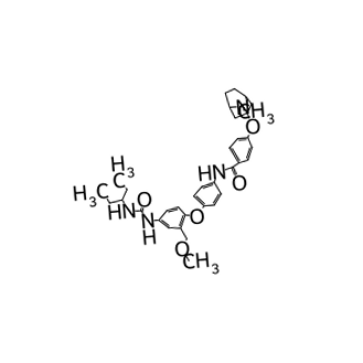 CCC(CC)NC(=O)Nc1ccc(Oc2ccc(NC(=O)c3ccc(OC4CC5CCC(C4)N5C)cc3)cc2)c(COC)c1